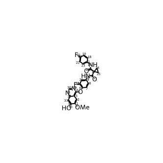 COc1cc2c(Oc3ccc(NC(=O)C4(C(=O)Nc5ccc(F)cc5)CC4)cc3F)ncnc2cc1O